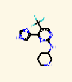 FC(F)(F)c1cnc(NC2CCCNC2)nc1-c1c[nH]cn1